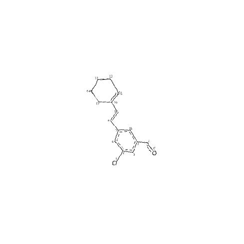 O=Cc1cc(Cl)cc(/C=C/C2=CCCCC2)c1